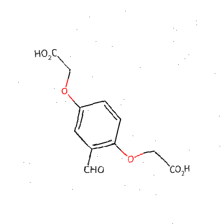 O=Cc1cc(OCC(=O)O)ccc1OCC(=O)O